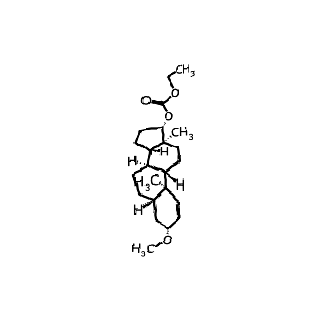 CCOC(=O)O[C@H]1CC[C@H]2[C@@H]3CC[C@H]4C[C@@H](OC)C=C[C@]4(C)[C@H]3CC[C@]12C